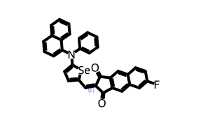 O=C1/C(=C\c2ccc(N(c3ccccc3)c3cccc4ccccc34)[se]2)C(=O)c2cc3cc(F)ccc3cc21